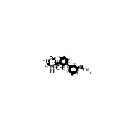 COc1cccc(-c2cccc(C3(C)CONCN3)c2)c1